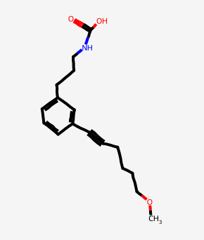 COCCCCC#Cc1cccc(CCCNC(=O)O)c1